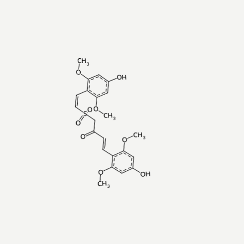 COc1cc(O)cc(OC)c1C=CC(=O)CS(=O)(=O)/C=C\c1c(OC)cc(O)cc1OC